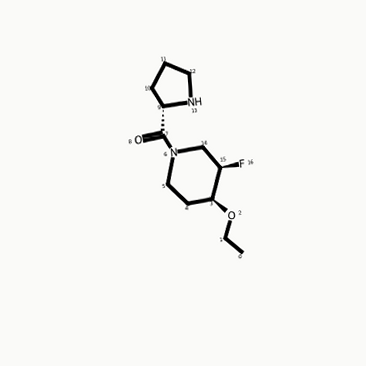 CCO[C@H]1CCN(C(=O)[C@@H]2CCCN2)C[C@H]1F